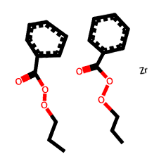 CCCOOC(=O)c1ccccc1.CCCOOC(=O)c1ccccc1.[Zr]